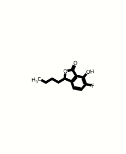 CCCCC1OC(=O)c2c1ccc(F)c2O